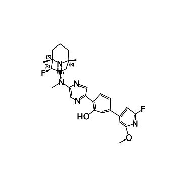 COc1cc(-c2ccc(-c3cnc(N(C)[C@@H]4C[C@@]5(C)CCC[C@](C)(N5)[C@@H]4F)cn3)c(O)c2)cc(F)n1